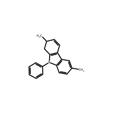 Cc1ccc2c(c1)c1c(n2-c2ccccc2)CC(C)C=C1